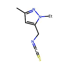 CCn1nc(C)cc1CN=C=S